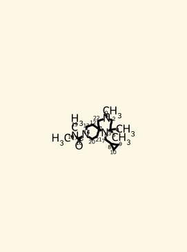 CN1CC(C)(C)N(CC2CC2)C2(CCN(C(=O)N(C)C)CC2)C1